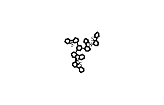 c1ccc2c(c1)sc1c(-c3cc(-c4cccc5c4c4ccccc4n5-c4cccc5c4sc4ccccc45)cc(-c4cccc5c4c4ccccc4n5-c4cccc5c4sc4ccccc45)c3)cccc12